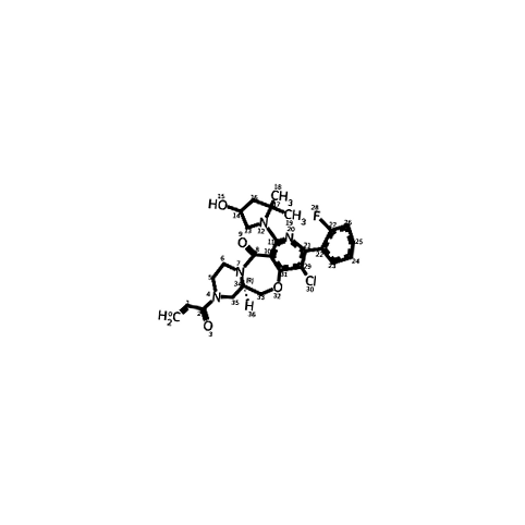 C=CC(=O)N1CCN2C(=O)c3c(N4CC(O)CC4(C)C)nc(-c4ccccc4F)c(Cl)c3OC[C@H]2C1